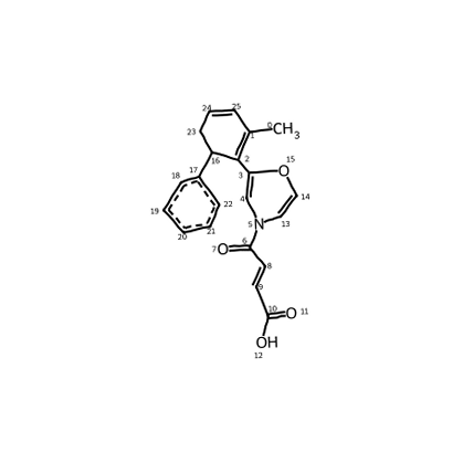 CC1=C(C2=CN(C(=O)/C=C/C(=O)O)C=CO2)C(c2ccccc2)CC=C1